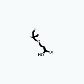 OC(O)=CCOCC(F)(F)CF